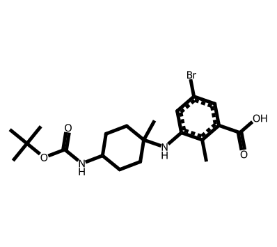 Cc1c(NC2(C)CCC(NC(=O)OC(C)(C)C)CC2)cc(Br)cc1C(=O)O